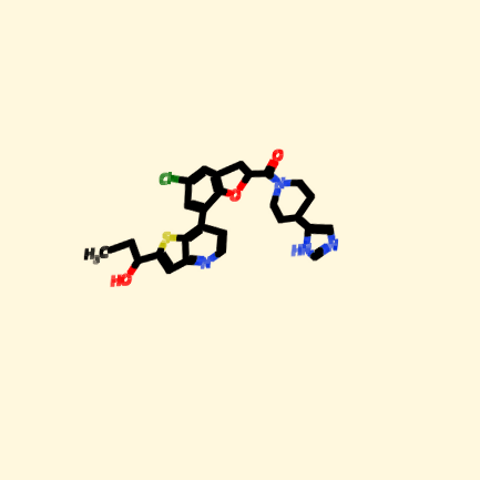 CCC(O)c1cc2nccc(-c3cc(Cl)cc4c3OC(C(=O)N3CCC(c5cnc[nH]5)CC3)C4)c2s1